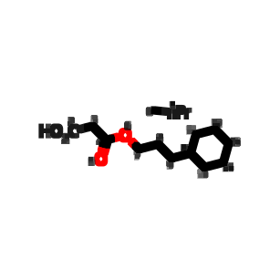 CCCC.O=C(O)CC(=O)OCCCC1CCCCC1